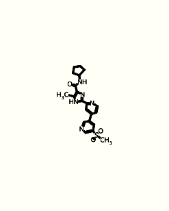 Cc1[nH]c(-c2cc(-c3cncc(S(C)(=O)=O)c3)ccn2)nc1C(=O)NC1CCCC1